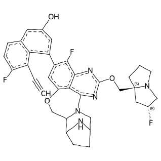 C#Cc1c(F)ccc2cc(O)cc(-c3cc4c5c(nc(OC[C@@]67CCCN6C[C@H](F)C7)nc5c3F)N3CC5CCC(N5)C3CO4)c12